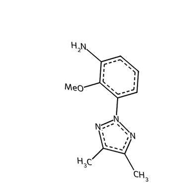 COc1c(N)cccc1-n1nc(C)c(C)n1